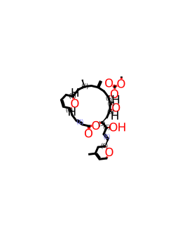 C=C1C[C@H](C)C[C@@H]2CC=C[C@@H](C/C=C\C(=O)O[C@H]([C@@H](O)/C=C/[C@@H]3CC(C)=CCO3)C[C@@H]3O[C@H]3[C@@H](OC(=O)OC)C1)O2